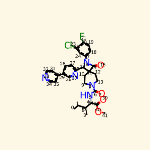 CC[C@H](C)[C@H](NC(=O)N1CCC2(CC1)C(=O)N(c1ccc(F)c(Cl)c1)C2c1ccc(-c2ccncc2)cn1)C(=O)OC